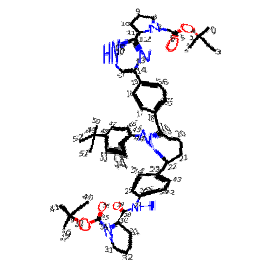 CC(C)(C)OC(=O)N1CCCC1c1nc(-c2ccc(C3CCC(c4ccc(NC(=O)[C@H]5CCCN5C(=O)OC(C)(C)C)cc4)N3c3ccc(C(C)(C)C)cc3)cc2)c[nH]1